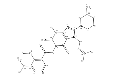 COc1c(C(=O)Cn2c(=O)c3c(nc(N4CCCC(N)C4)n3CC=C(C)C)n(C)c2=O)cccc1[S+](C)[O-]